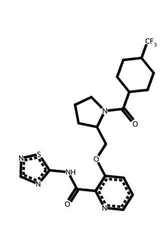 O=C(Nc1ncns1)c1ncccc1OCC1CCCN1C(=O)C1CCC(C(F)(F)F)CC1